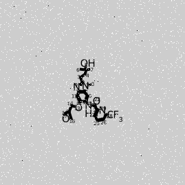 Cn1c(CCC(C)(C)O)nc2cc(OCC3COC3)c(NC(=O)c3cccc(C(F)(F)F)n3)cc21